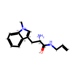 C=CCNC(=O)[C@@H](N)Cc1cn(C)c2ccccc12